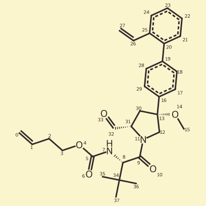 C=CCCOC(=O)N[C@H](C(=O)N1C[C@](OC)(c2ccc(-c3ccccc3C=C)cc2)C[C@H]1C=O)C(C)(C)C